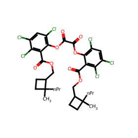 CCCC1(C)CCC1COC(=O)c1c(Cl)c(Cl)cc(Cl)c1OC(=O)C(=O)Oc1c(Cl)cc(Cl)c(Cl)c1C(=O)OCC1CCC1(C)CCC